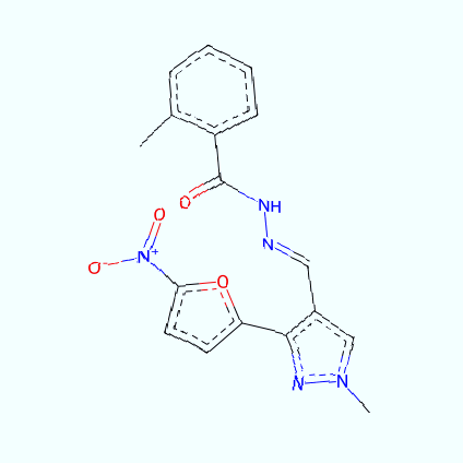 Cc1ccccc1C(=O)N/N=C/c1cn(C)nc1-c1ccc([N+](=O)[O-])o1